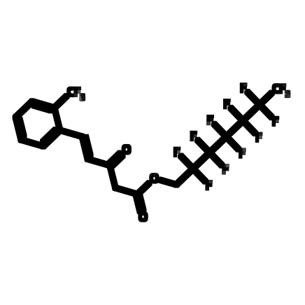 O=C(C=Cc1ccccc1C(F)(F)F)CC(=O)OCC(F)(F)C(F)(F)C(F)(F)C(F)(F)C(F)(F)C(F)(F)F